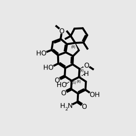 COc1cc(O)c2c(O)c3c(c4c2c1[C@@]1(C4)C(C)=CCCC1(C)C)[C@H](OC)[C@H]1CC(O)=C(C(N)=O)C(=O)[C@@]1(O)C3=O